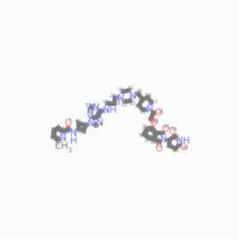 Cc1cccc(C(=O)NC2CC(n3cnc4c(NCCCN5CCN(CC6CCN(C(=O)COc7cccc8c7C(=O)N([C@@H]7CCC(=O)NC7=O)C8=O)CC6)CC5)ncnc43)C2)n1